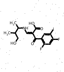 CC(CO)C(C)NC=C(C(=O)O)C(=O)c1cc(I)c(F)cc1F